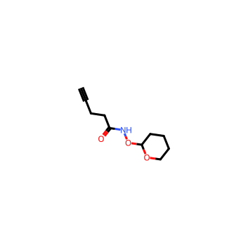 C#CCCC(=O)NOC1CCCCO1